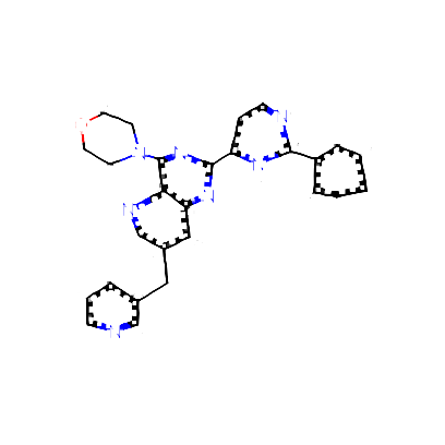 c1ccc(-c2nccc(-c3nc(N4CCOCC4)c4ncc(Cc5cccnc5)cc4n3)n2)cc1